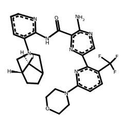 Nc1ncc(-c2nc(N3CCOCC3)ccc2C(F)(F)F)nc1C(=O)Nc1ncccc1N1CC2CC[C@H](C1)[C@H]2I